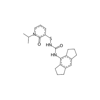 CC(C)n1cccc(SNC(=O)Nc2c3c(cc4c2CCC4)CCC3)c1=O